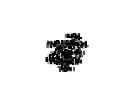 O=C(OC[C@H]1O[C@H](OC(=O)c2cc(O)c(O)c(OC(=O)c3cc(O)c(O)c(O)c3)c2)[C@H](OC(=O)c2cc(O)c(O)c(OC(=O)c3cc(O)c(O)c(O)c3)c2)[C@@H](OC(=O)c2cc(O)c(O)c(OC(=O)c3cc(O)c(O)c(O)c3)c2)[C@@H]1OC(=O)c1cc(O)c(O)c(OC(=O)c2cc(O)c(O)c(O)c2)c1)c1cc(O)c(O)c(OC(=O)c2cc(O)c(O)c(O)c2)c1.[Na]